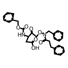 O=C(O)CC(NC(=O)OCc1ccccc1)C(=O)CON(Cc1ccccc1)C(=O)CCc1ccccc1